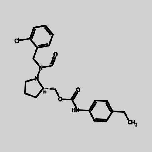 CCc1ccc(NC(=O)OC[C@@H]2CCCN2N(C=O)Cc2ccccc2Cl)cc1